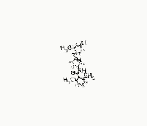 Cc1cc(Cl)ccc1Sc1ccc(NC(=O)c2c(C)cccc2C)cn1